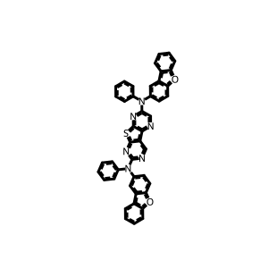 c1ccc(N(c2ccc3oc4ccccc4c3c2)c2cnc3c(n2)sc2nc(N(c4ccccc4)c4ccc5oc6ccccc6c5c4)ncc23)cc1